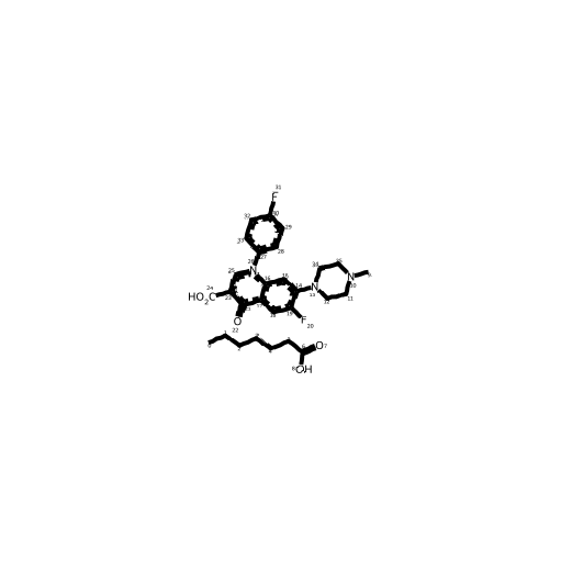 CCCCCCC(=O)O.CN1CCN(c2cc3c(cc2F)c(=O)c(C(=O)O)cn3-c2ccc(F)cc2)CC1